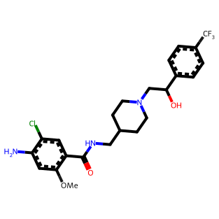 COc1cc(N)c(Cl)cc1C(=O)NCC1CCN(CC(O)c2ccc(C(F)(F)F)cc2)CC1